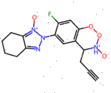 C#CCC1c2cc(-n3nc4c([n+]3[O-])CCCC4)c(F)cc2OO[NH+]1[O-]